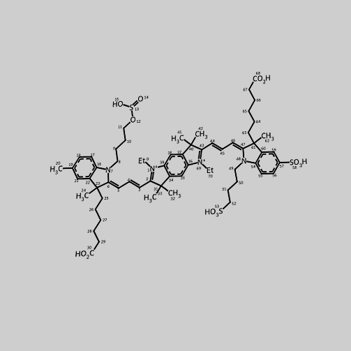 CC[N+]1=C(C=CC=C2N(CCCCOS(=O)O)c3ccc(C)cc3C2(C)CCCCCC(=O)O)C(C)(C)c2cc3c(cc21)C(C)(C)C(C=CC=C1N(CCCCS(=O)(=O)O)c2ccc(S(=O)(=O)O)cc2C1(C)CCCCCC(=O)O)=[N+]3CC